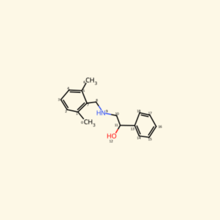 Cc1cccc(C)c1CNCC(O)c1ccccc1